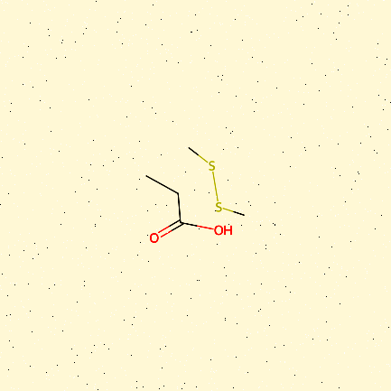 CCC(=O)O.CSSC